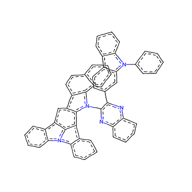 c1ccc(-n2c3ccccc3c3ccc(-c4nc5ccccc5nc4-n4c5c6ccccc6ccc5c5cc6c7ccccc7n7c8ccccc8c(c54)c67)cc32)cc1